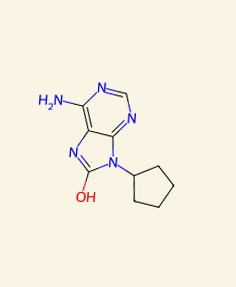 Nc1ncnc2c1nc(O)n2C1CCCC1